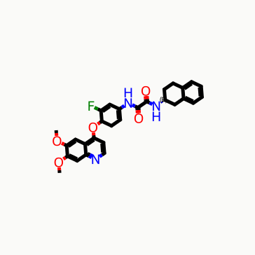 COc1cc2nccc(OC3CC=C(NC(=O)C(=O)N[C@@H]4CCc5ccccc5C4)C=C3F)c2cc1OC